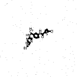 CCn1cc2ncc(N[C@@H](C)c3cccc(NC(=O)c4ccc(Cl)s4)c3)nc2n1